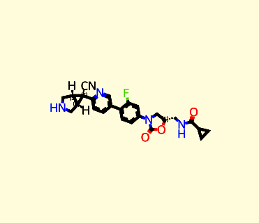 N#C[C@]1(c2ccc(-c3ccc(N4C[C@H](CNC(=O)C5CC5)OC4=O)cc3F)cn2)[C@@H]2CNC[C@@H]21